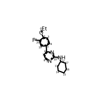 CCOc1ccc(-c2ccnc(NC3CCCCC3)n2)cc1F